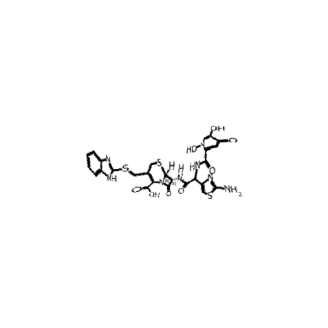 Nc1nc(C(NC(=O)c2cc(=O)c(O)cn2O)C(=O)N[C@@H]2C(=O)N3C(C(=O)O)=C(CSc4nc5ccccc5[nH]4)CS[C@H]23)cs1